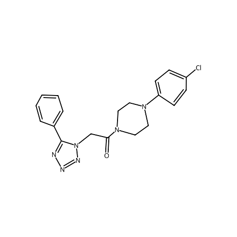 O=C(Cn1nnnc1-c1ccccc1)N1CCN(c2ccc(Cl)cc2)CC1